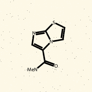 CNC(=O)c1cnc2sccn12